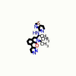 CC(C)n1c([C@H](C)Nc2nccc3scnc23)cc2cccc(-c3ccnnc3)c2c1=O